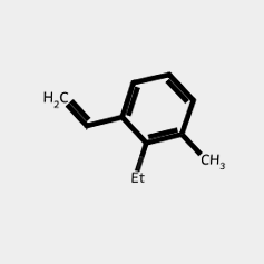 C=[C]c1cccc(C)c1CC